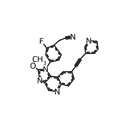 COc1nc2cnc3ccc(C#Cc4cccnc4)cc3c2n1-c1ccc(CC#N)c(F)c1